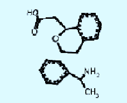 CC(N)c1ccccc1.O=C(O)CC1OCCc2ccccc21